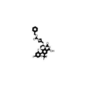 O=C(OCc1ccccc1)N1CC(C[C@H]2CSc3c(-c4ccc(F)cc4F)c(C(F)(F)F)cc4c(O)nc(=O)n2c34)C1